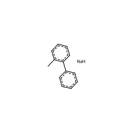 Cc1ccccc1-c1ccccc1.[NaH]